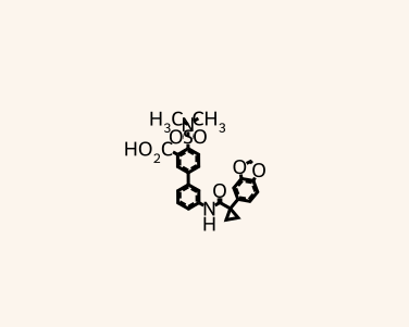 CN(C)S(=O)(=O)c1ccc(-c2cccc(NC(=O)C3(c4ccc5c(c4)OCO5)CC3)c2)cc1C(=O)O